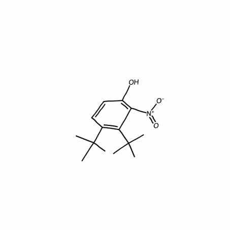 CC(C)(C)c1ccc(O)c([N+](=O)[O-])c1C(C)(C)C